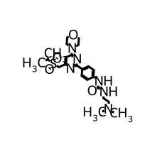 CC(C)S(=O)(=O)Cc1cc(N2CCOCC2)nc(-c2ccc(NC(=O)NCCN(C)C)cc2)n1